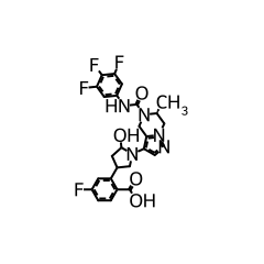 C[C@H]1Cn2ncc(N3CC(c4cc(F)ccc4C(=O)O)CC3O)c2CN1C(=O)Nc1cc(F)c(F)c(F)c1